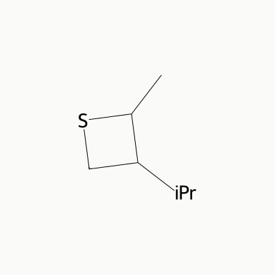 CC(C)C1CSC1C